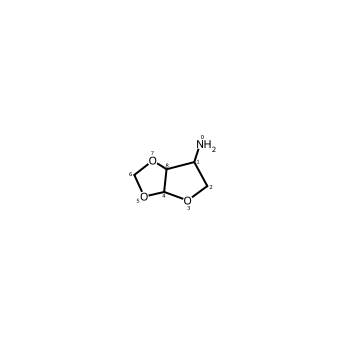 NC1COC2OCOC12